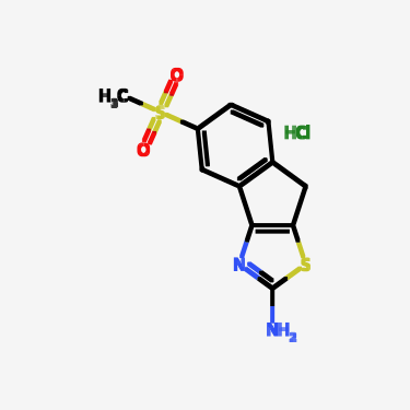 CS(=O)(=O)c1ccc2c(c1)-c1nc(N)sc1C2.Cl